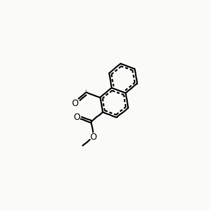 COC(=O)c1ccc2ccccc2c1[C]=O